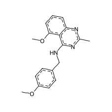 COc1ccc(CNc2nc(C)nc3cccc(OC)c23)cc1